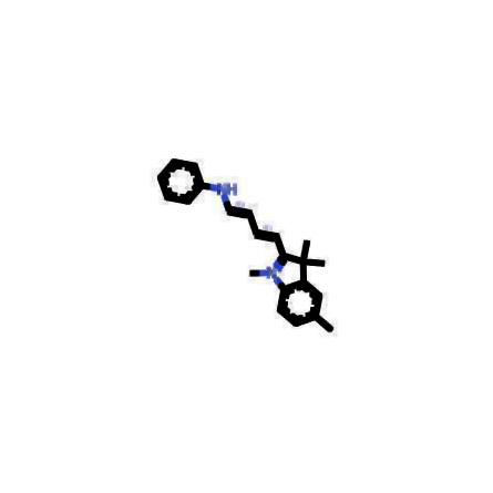 Cc1ccc2c(c1)C(C)(C)C(/C=C/C=C/Nc1ccccc1)=[N+]2C